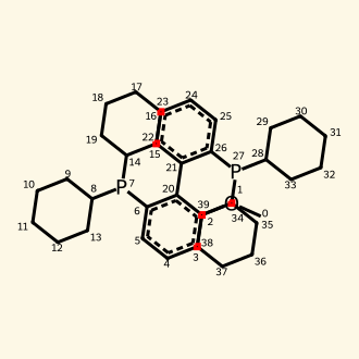 COc1cccc(P(C2CCCCC2)C2CCCCC2)c1-c1ccccc1P(C1CCCCC1)C1CCCCC1